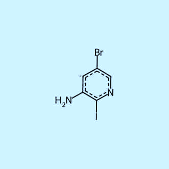 Nc1[c]c(Br)cnc1I